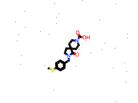 CSc1ccc(CN2CCC3(CCN(C(=O)O)CC3)C2=O)cc1